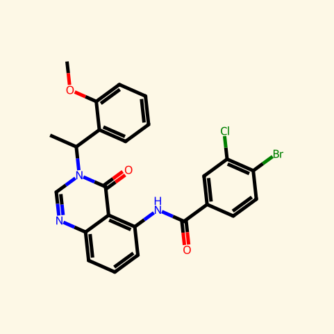 COc1ccccc1C(C)n1cnc2cccc(NC(=O)c3ccc(Br)c(Cl)c3)c2c1=O